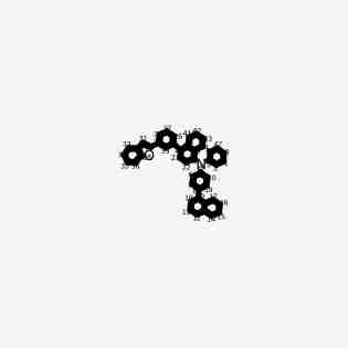 c1ccc(N(c2ccc(-c3cccc4ccccc34)cc2)c2ccc(-c3cccc(-c4cc5ccccc5o4)c3)c3ccccc23)cc1